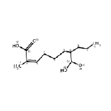 CCCC(CCCC=C(C)C(=O)O)C(O)O